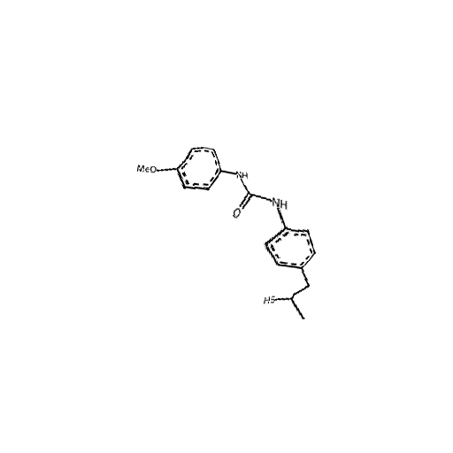 COc1ccc(NC(=O)Nc2ccc(CC(C)S)cc2)cc1